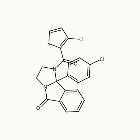 O=C1c2ccccc2C2(c3ccc(Cl)cc3)N1CCN2C(=O)c1sccc1Cl